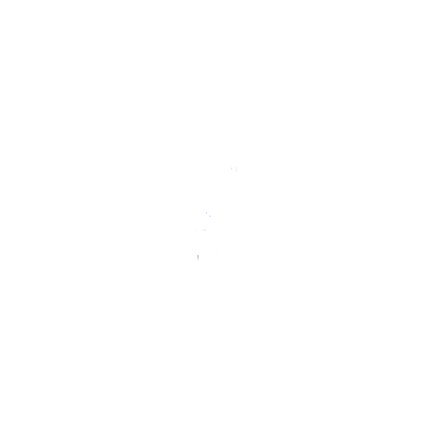 CC(N)CC1CCN(S(=O)(=O)c2ccc(Cl)cc2)CC1